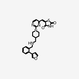 O=C1NC(=O)/C(=C\c2ccnc(N3CCC(CNCc4ccccc4-c4ccoc4)CC3)n2)S1